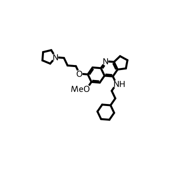 COc1cc2c(NCCC3CCCCC3)c3c(nc2cc1OCCCN1CCCC1)CCC3